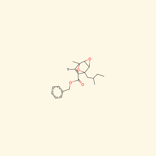 CCC(C)CC12OC(C)([C]([Y])=C1C(=O)OCc1ccccc1)C1OC12